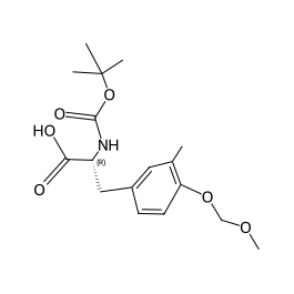 COCOc1ccc(C[C@@H](NC(=O)OC(C)(C)C)C(=O)O)cc1C